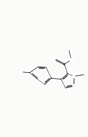 COC(=O)c1c(-c2ccc(Cl)cc2)cnn1C